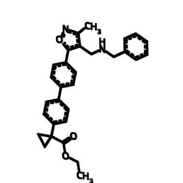 CCOC(=O)C1(c2ccc(-c3ccc(-c4onc(C)c4CNCc4ccccc4)cc3)cc2)CC1